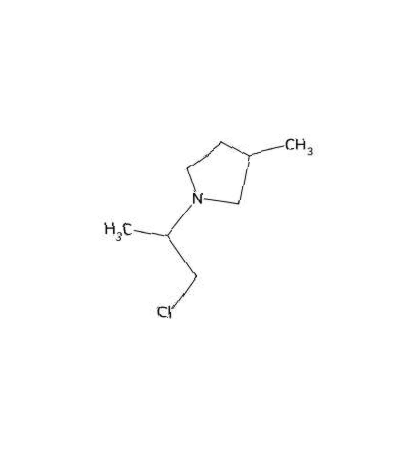 CC1CCN(C(C)CCl)C1